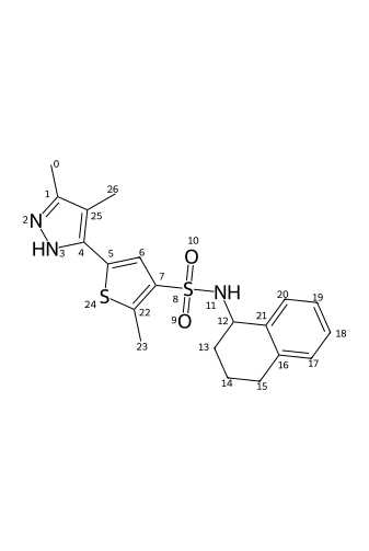 Cc1n[nH]c(-c2cc(S(=O)(=O)NC3CCCc4ccccc43)c(C)s2)c1C